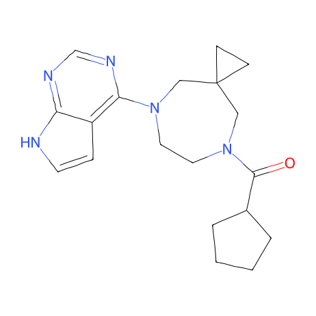 O=C(C1CCCC1)N1CCN(c2ncnc3[nH]ccc23)CC2(CC2)C1